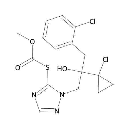 COC(=O)Sc1ncnn1CC(O)(Cc1ccccc1Cl)C1(Cl)CC1